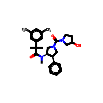 CN(C(=O)C(C)(C)c1cc(C(F)(F)F)cc(C(F)(F)F)c1)[C@@H]1CN(C(=O)N2CCC(O)C2)C[C@H]1c1ccccc1